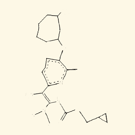 Cc1nc(/C(N)=C(\NC(=O)OCC2CC2)N(C)N)ccc1OC1CCCCC(C(=O)O)C1